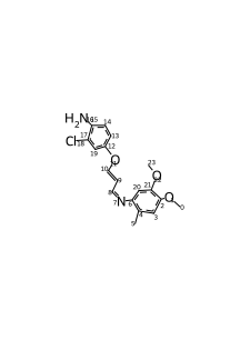 COc1cc(C)c(/N=C\C=C\Oc2ccc(N)c(Cl)c2)cc1OC